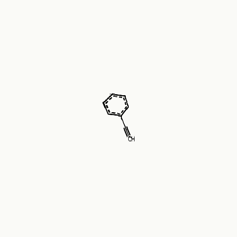 C#Cc1cc[c]cc1